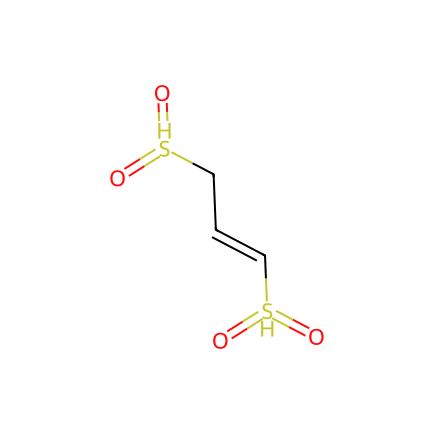 O=[SH](=O)C=CC[SH](=O)=O